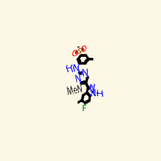 CNc1nc(Nc2cc(C)cc(S(C)(=O)=O)c2)ncc1-c1n[nH]c2cc(F)c(C)cc12